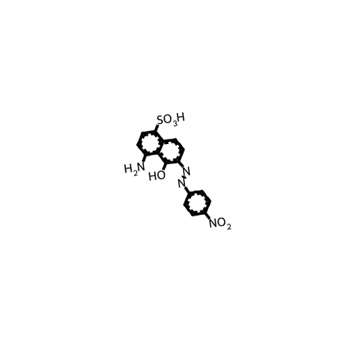 Nc1ccc(S(=O)(=O)O)c2ccc(N=Nc3ccc([N+](=O)[O-])cc3)c(O)c12